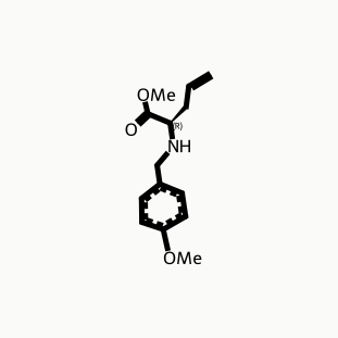 C=CC[C@@H](NCc1ccc(OC)cc1)C(=O)OC